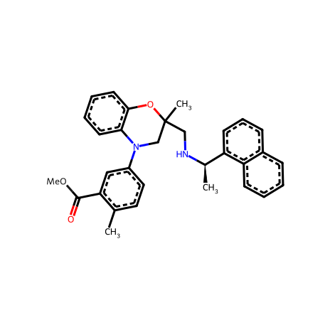 COC(=O)c1cc(N2CC(C)(CN[C@H](C)c3cccc4ccccc34)Oc3ccccc32)ccc1C